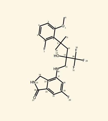 COc1cccc(F)c1C(C)(C)CC(O)(CNc1cc(F)cc2c1CNC2=O)C(F)(F)F